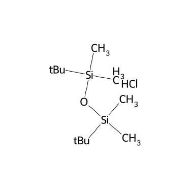 CC(C)(C)[Si](C)(C)O[Si](C)(C)C(C)(C)C.Cl